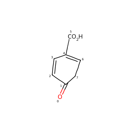 O=C1C=CC(C(=O)O)=CC1